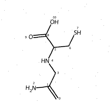 C=C(N)CNC(CS)C(=O)O